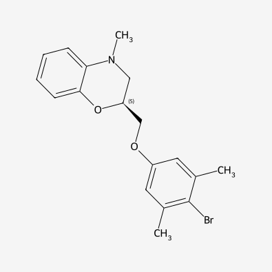 Cc1cc(OC[C@@H]2CN(C)c3ccccc3O2)cc(C)c1Br